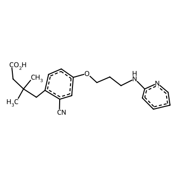 CC(C)(CC(=O)O)Cc1ccc(OCCCNc2ccccn2)cc1C#N